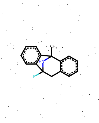 CC12NC(F)(Cc3ccccc31)c1ccccc12